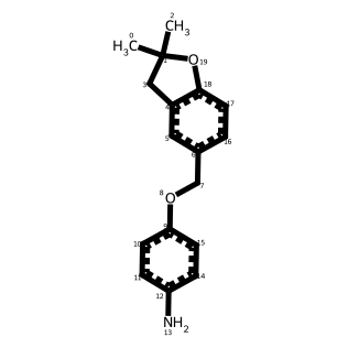 CC1(C)Cc2cc(COc3ccc(N)cc3)ccc2O1